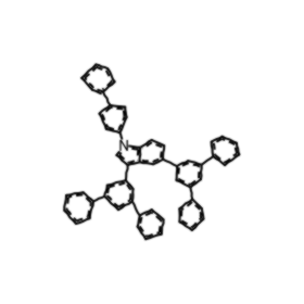 c1ccc(-c2ccc(-n3cc(-c4cc(-c5ccccc5)cc(-c5ccccc5)c4)c4cc(-c5cc(-c6ccccc6)cc(-c6ccccc6)c5)ccc43)cc2)cc1